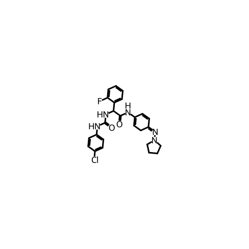 O=C(Nc1ccc(Cl)cc1)NC(C(=O)NC1=CCC(=NN2CCCC2)C=C1)c1ccccc1F